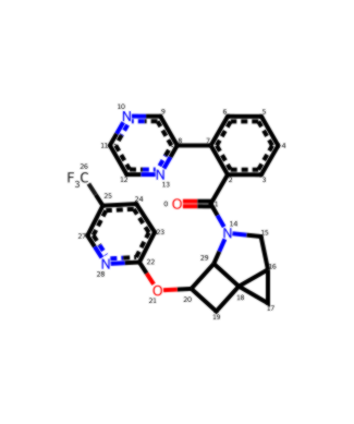 O=C(c1ccccc1-c1cnccn1)N1CC2CC23CC(Oc2ccc(C(F)(F)F)cn2)C13